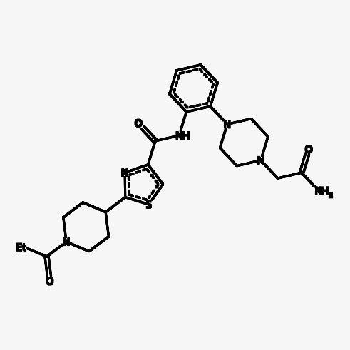 CCC(=O)N1CCC(c2nc(C(=O)Nc3ccccc3N3CCN(CC(N)=O)CC3)cs2)CC1